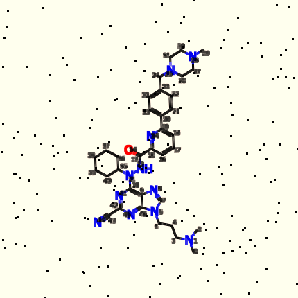 CN(C)CCCn1cnc2c(N(NC(=O)c3cccc(-c4ccc(CN5CCN(C)CC5)cc4)n3)C3CCCCC3)nc(C#N)nc21